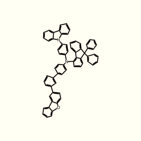 c1ccc(C2(c3ccccc3)c3ccccc3-c3c(N(c4ccc(-c5cccc(-c6ccc7oc8ccccc8c7c6)c5)cc4)c4ccc(-n5c6ccccc6c6ccccc65)cc4)cccc32)cc1